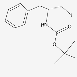 CC(C)(C)OC(=O)N[C@@H](CI)Cc1ccccc1